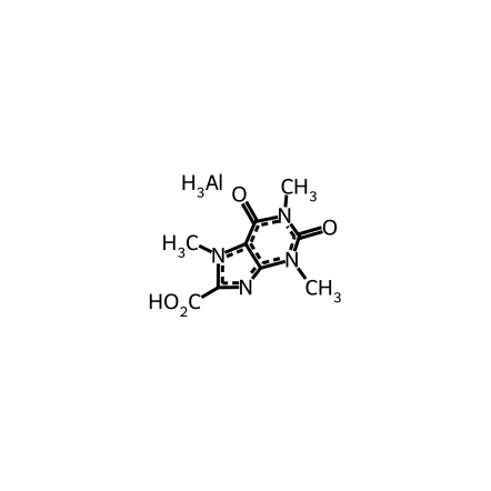 Cn1c(=O)c2c(nc(C(=O)O)n2C)n(C)c1=O.[AlH3]